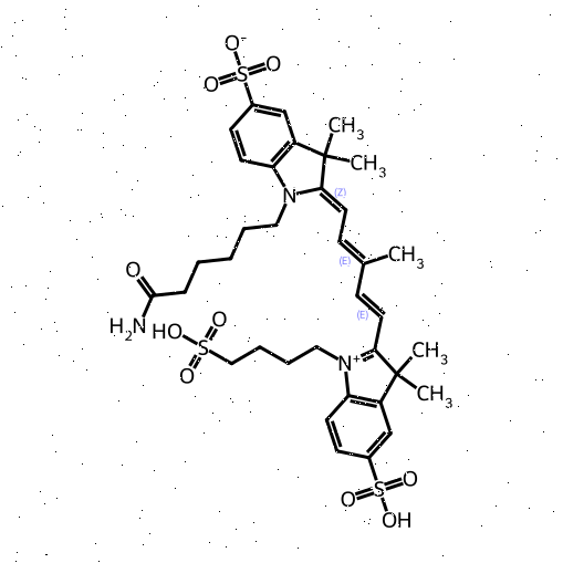 CC(/C=C/C1=[N+](CCCCS(=O)(=O)O)c2ccc(S(=O)(=O)O)cc2C1(C)C)=C\C=C1/N(CCCCCC(N)=O)c2ccc(S(=O)(=O)[O-])cc2C1(C)C